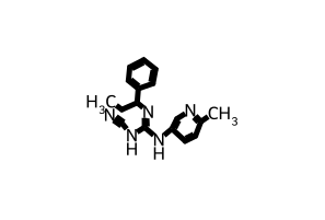 CCC(N=C(NC#N)Nc1ccc(C)nc1)c1ccccc1